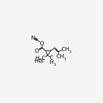 CC(C)=CC1C(C(=O)OC#N)C1(C)C.Cl